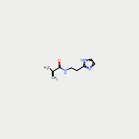 C=C(C)C(=O)NCCc1ncc[nH]1